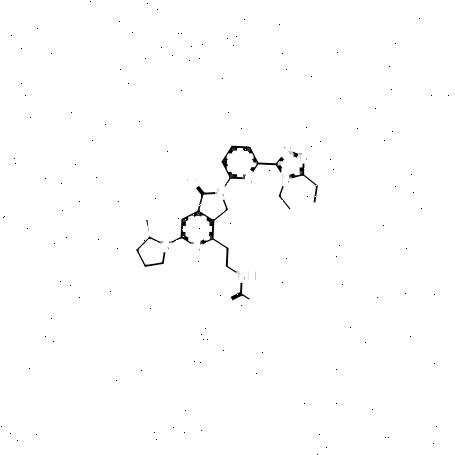 CCc1nnc(-c2cccc(N3Cc4c(cc(N5CCC[C@H]5C)nc4CCNC(=O)O)C3=O)n2)n1CC